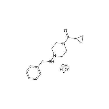 O.O.O=C(C1CC1)N1CCN(BCc2ccccc2)CC1